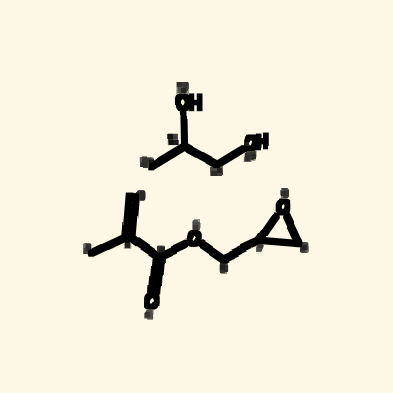 C=C(C)C(=O)OCC1CO1.CC(O)CO